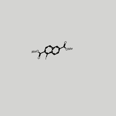 COC(=O)c1ccc2c(I)c(C(=O)OC)ccc2c1